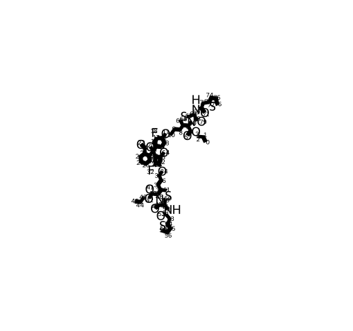 C=CCOC(=O)C1=C(C=CCOc2cc3c(cc2F)C2(OC(=O)c4ccccc42)c2cc(F)c(OCC=CC4=C(C(=O)OCC=C)N5C(=O)C(NC(=O)Cc6cccs6)C5SC4)cc2O3)CSC2C(NC(=O)Cc3cccs3)C(=O)N12